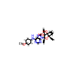 C#CC1(C#C)OC(C#C)(n2cnc3c(NC4CCC(OCC)CC4)ncnc32)C(O)(C#C)C1(O)C#C